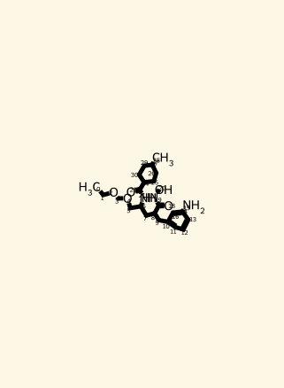 CCOCOCC(CC(Cc1cccc(N)c1)C(=O)NO)NC(=O)C1CCC(C)CC1